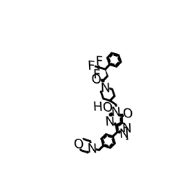 Cn1nc2c(=O)n(CC3(O)CCN(C(=O)C[C@H](c4ccccc4)C(F)(F)F)CC3)cnc2c1-c1ccc(CN2CCOCC2)cc1